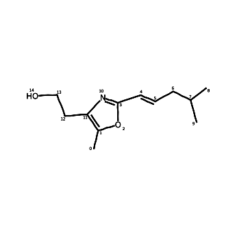 Cc1oc(C=CCC(C)C)nc1CCO